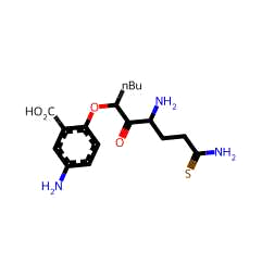 CCCCC(Oc1ccc(N)cc1C(=O)O)C(=O)C(N)CCC(N)=S